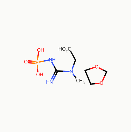 C1COCO1.CN(CC(=O)O)C(=N)NP(=O)(O)O